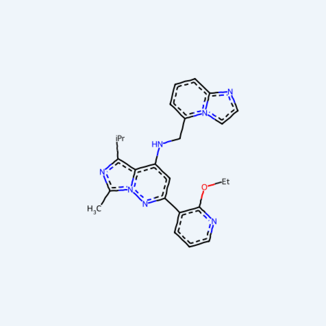 CCOc1ncccc1-c1cc(NCc2cccc3nccn23)c2c(C(C)C)nc(C)n2n1